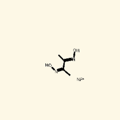 CC(=NO)C(C)=NO.[Ni+2]